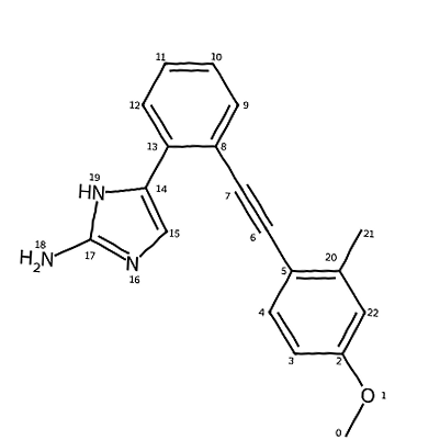 COc1ccc(C#Cc2ccccc2-c2cnc(N)[nH]2)c(C)c1